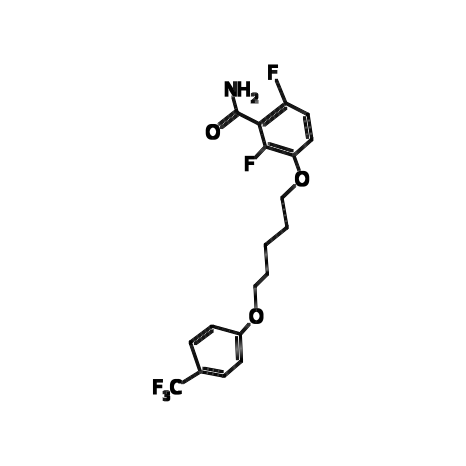 NC(=O)c1c(F)ccc(OCCCCCOc2ccc(C(F)(F)F)cc2)c1F